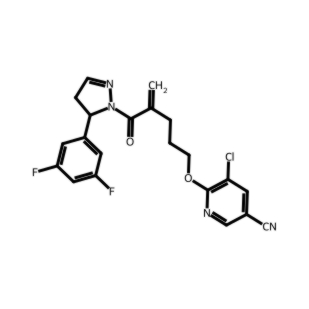 C=C(CCCOc1ncc(C#N)cc1Cl)C(=O)N1N=CCC1c1cc(F)cc(F)c1